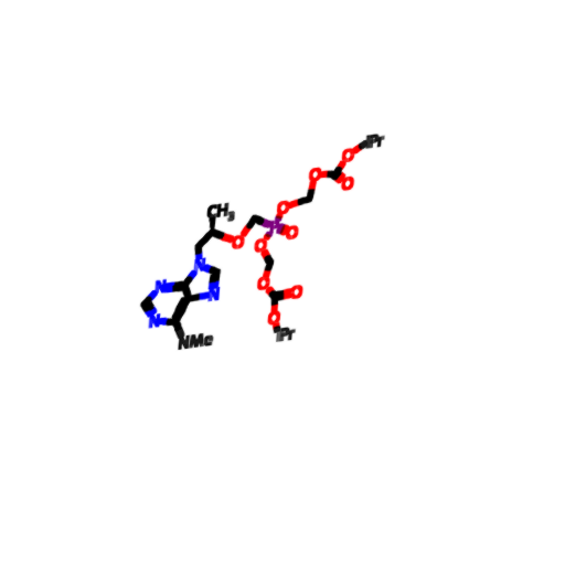 CNc1ncnc2c1ncn2C[C@@H](C)OCP(=O)(OCOC(=O)OC(C)C)OCOC(=O)OC(C)C